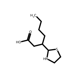 CCCCC(CC(=O)O)C1NCCS1